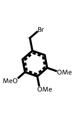 COc1cc([CH]Br)cc(OC)c1OC